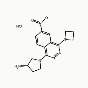 Cl.N[C@@H]1CCN(c2nnc(N3CCC3)c3cc([N+](=O)[O-])ccc23)C1